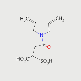 C=CCN(CC=C)C(=O)CC(C(=O)O)S(=O)(=O)O